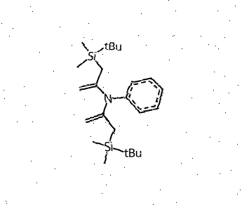 C=C(C[Si](C)(C)C(C)(C)C)N(C(=C)C[Si](C)(C)C(C)(C)C)c1ccccc1